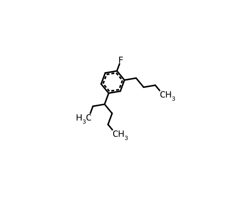 CCCCc1cc(C(CC)CCC)ccc1F